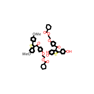 COc1ccc(-c2sc3cc(OC)ccc3c2C(=O)c2ccc(OCCOC(=O)C3CCCCC3)cc2)cc1.O=C(c1ccc(OCCOC(=O)C2CCCCC2)cc1)c1c(-c2ccc(O)cc2)sc2cc(O)ccc12